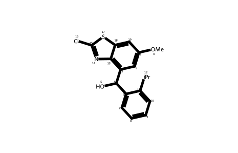 COc1cc(C(O)c2ccccc2C(C)C)c2nc(Cl)sc2c1